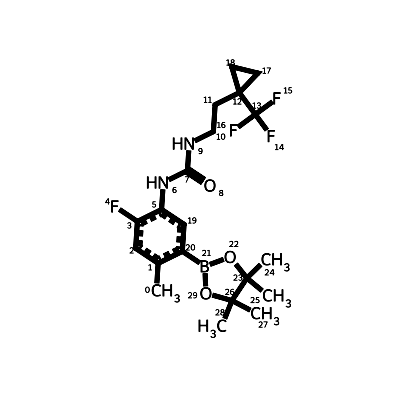 Cc1cc(F)c(NC(=O)NCCC2(C(F)(F)F)CC2)cc1B1OC(C)(C)C(C)(C)O1